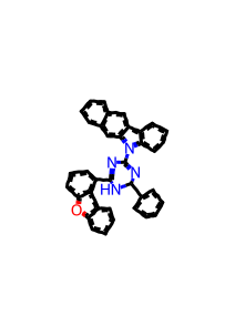 c1ccc(C2N=C(n3c4ccccc4c4cc5ccccc5cc43)N=C(c3cccc4oc5ccccc5c34)N2)cc1